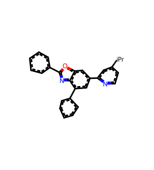 CC(C)c1ccnc(-c2cc(-c3ccccc3)c3nc(-c4ccccc4)oc3c2)c1